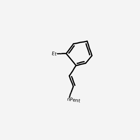 [CH2]Cc1ccccc1C=CCCCCC